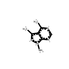 Cc1ncnc2c1c(C)nn2N